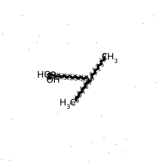 CCCCCCCCCCN(CCCCCCCCCC)CCCCCCCCCCCCOP(O)O